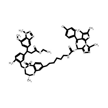 CCOC(=O)CC(c1ccc(C)c(CN2C[C@@H](C)Oc3cc(CCCCCCNC(=O)C[C@@H]4N=C(c5ccc(Cl)cc5)c5c(sc(C)c5C)-n5c(C)nnc54)ccc3S2(=O)=O)c1)c1cc(OC)c2c(c1)nnn2C